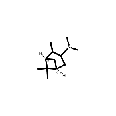 CC1C(N(C)C)C[C@@H]2C[C@H]1C2(C)C